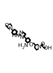 Nc1cc(-c2ccnc(Nc3ccc(N4CCOCC4)cc3)n2)ccc1OCC1CCCN(C(=O)CO)C1